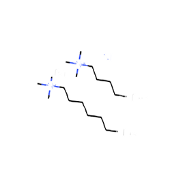 CCCCCCCCCCCCCCCC[N+](C)(C)C(C)(C)C.CCCCCCCCCCCCCC[N+](C)(C)C.N